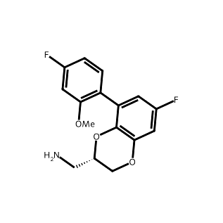 COc1cc(F)ccc1-c1cc(F)cc2c1O[C@@H](CN)CO2